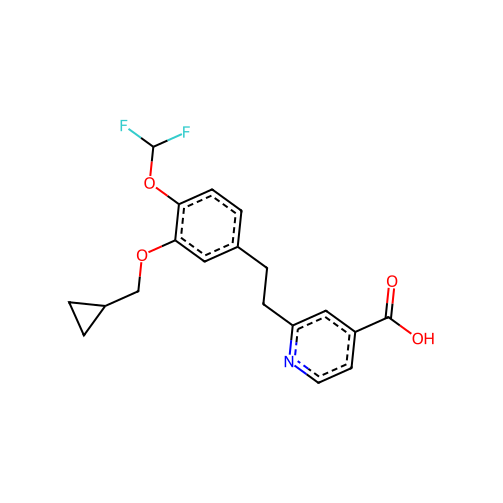 O=C(O)c1ccnc(CCc2ccc(OC(F)F)c(OCC3CC3)c2)c1